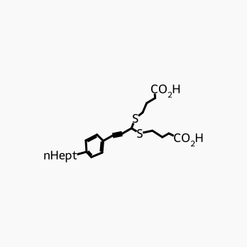 CCCCCCCc1ccc(C#CC(SCCCC(=O)O)SCCCC(=O)O)cc1